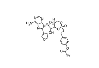 CC(C)C(=O)Oc1ccc(CSP2(=O)OC[C@H]3O[C@@H](n4c(-c5ccoc5)nc5c(N)ncnc54)C(O)C3O2)cc1